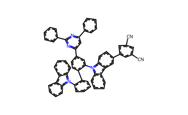 N#Cc1cc(C#N)cc(-c2ccc3c(c2)c2ccccc2n3-c2cc(-c3cc(-c4ccccc4)nc(-c4ccccc4)n3)ccc2-c2ccccc2-n2c3ccccc3c3ccccc32)c1